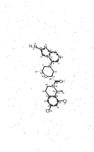 C[C@@H]1CN(c2cncc3nc(N)cn23)C[C@H](C(=O)N2CCc3cc(Cl)cc(Cl)c3[C@@H]2C)O1